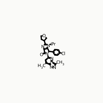 Cc1cc(N2C(=O)c3nc(C4CCOC4)n(C(C)C)c3C2c2ccc(Cl)cc2)nn2c(C)nnc12